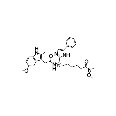 COc1ccc2[nH]c(C)c(CC(=O)N[C@@H](CCCCCC(=O)N(C)OC)c3ncc(-c4ccccc4)[nH]3)c2c1